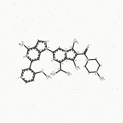 COc1ccncc1-c1cc2c(cnn2-c2cn3c(C)c(C(=O)N4CCN(C)CC4)c(C)c3c(C(C)C)n2)c(C)n1